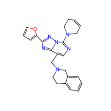 C1=CCN(c2ncc(CN3CCc4ccccc4C3)c3nc(-c4ccco4)nn23)CC1